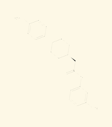 COc1ccc([C@H]2CC[C@H](CC(=O)Nc3cccc(C#N)c3)CC2)cc1